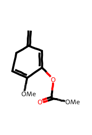 C=C1C=C(OC(=O)OC)C(OC)=CC1